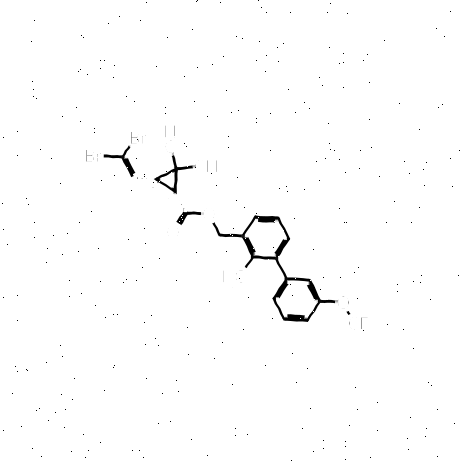 Cc1c(COC(=O)[C@@H]2[C@H](C=C(Br)Br)C2(C)C)cccc1-c1cccc(OC(F)(F)F)c1